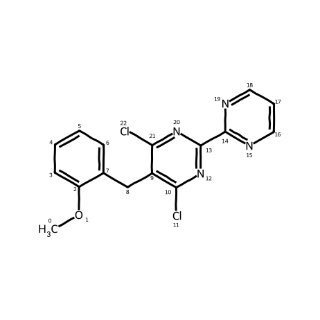 COc1ccccc1Cc1c(Cl)nc(-c2ncccn2)nc1Cl